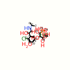 CC(C)NCC(O)c1ccccc1Cl.Cl.O.O=C(O)C(O)C(O)P(=O)(O)O